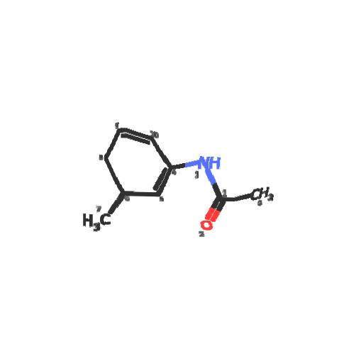 CC(=O)NC1=CC(C)CC=C1